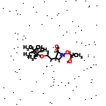 CC(=O)ON1C[C@@H](CCO[Si](C)(C)C(C)(C)C)C1=O